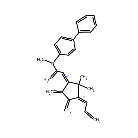 C=C/C=C1\C(=C)C(=C)/C(=C\C(=C)N(C)c2ccc(-c3ccccc3)cc2)C1(C)C